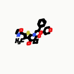 Cc1c(-c2ncco2)sc2c1C(=O)C1(CCC1)C(=O)N2CC(OC1CCOCC1)c1ccccc1